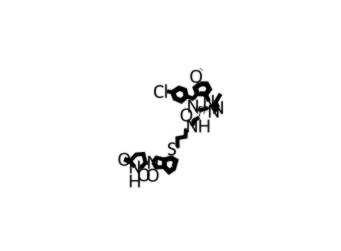 COc1ccc2c(c1)C(c1ccc(Cl)cc1)=N[C@@H](CC(=O)NCCCCSc1cccc3c1CN(C1CCC(=O)NC1=O)C3=O)c1nnc(C)n1-2